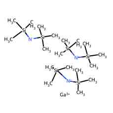 C[Si](C)(C)[N-][Si](C)(C)C.C[Si](C)(C)[N-][Si](C)(C)C.C[Si](C)(C)[N-][Si](C)(C)C.[Ga+3]